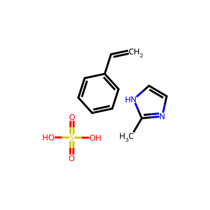 C=Cc1ccccc1.Cc1ncc[nH]1.O=S(=O)(O)O